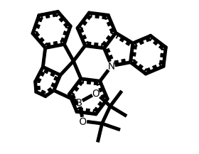 CC1(C)OB(c2cccc3c2C2(c4ccccc4-3)c3ccccc3-n3c4ccccc4c4cccc2c43)OC1(C)C